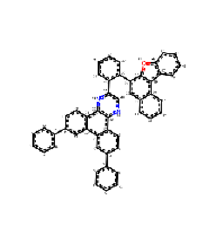 c1ccc(-c2ccc3c(c2)c2cc(-c4ccccc4)ccc2c2nc(-c4ccccc4-c4cc5ccccc5c5c4oc4ccccc45)cnc32)cc1